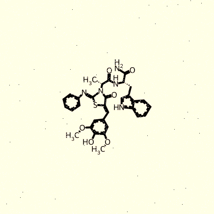 COc1cc(/C=C2\S/C(=N\c3ccccc3)N([C@H](C)C(=O)N[C@@H](Cc3c[nH]c4ccccc34)C(N)=O)C2=O)cc(OC)c1O